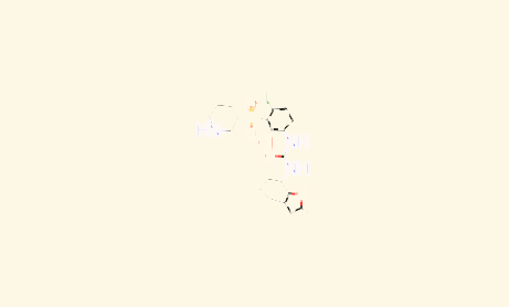 Cc1cc2c(o1)[C@@H](NC(=O)Nc1ccc(Cl)c(S(=O)(=O)[C@H]3CCCNC3)c1O)CCC2